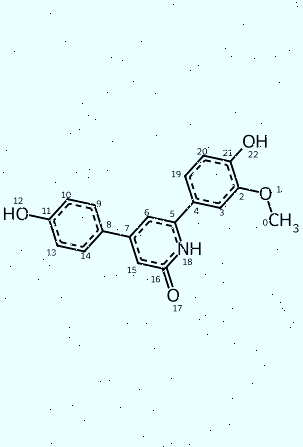 COc1cc(-c2cc(-c3ccc(O)cc3)cc(=O)[nH]2)ccc1O